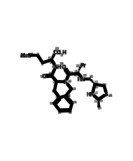 CSCC[C@H](NC(=O)C1Cc2ccccc2CN1C(=O)[C@@H](NC[C@@H]1CS[C@@H](C)N1)C(C)C)C(=O)O